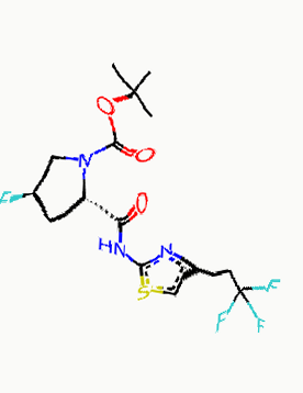 CC(C)(C)OC(=O)N1C[C@H](F)C[C@H]1C(=O)Nc1nc(CC(F)(F)F)cs1